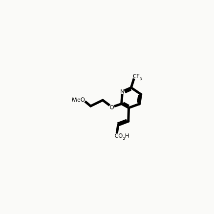 COCCOc1nc(C(F)(F)F)ccc1/C=C/C(=O)O